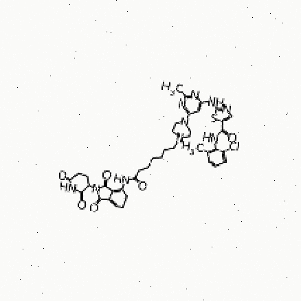 Cc1nc(Nc2ncc(C(=O)Nc3c(C)cccc3Cl)s2)cc(N2CCN(CCCCCCC(=O)NC3=C4C(=O)N(C5CCC(=O)NC5=O)C(=O)C4=CCC3)CC2)n1